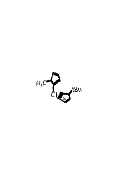 CC(C)(C)C1C=CC=C1.CC1=CC=CC1C